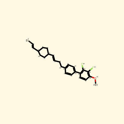 CC/C=C/C1CCC(/C=C/CCc2ccc(-c3ccc(OCC)c(F)c3F)cc2)CC1